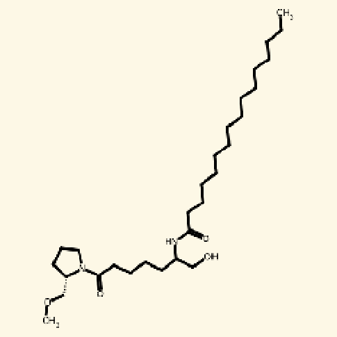 CCCCCCCCCCCCCCCC(=O)NC(CO)CCCCC(=O)N1CCC[C@H]1COC